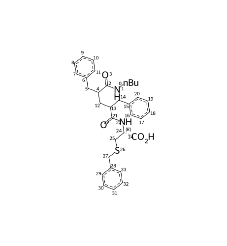 CCCCNC(=O)C(Cc1ccccc1)CC(Cc1ccccc1)C(=O)N[C@@H](CSCc1ccccc1)C(=O)O